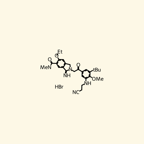 Br.CCOc1cc2c(cc1C(=O)NC)C(=N)N(CC(=O)c1cc(NCCC#N)c(OC)c(C(C)(C)C)c1)C2